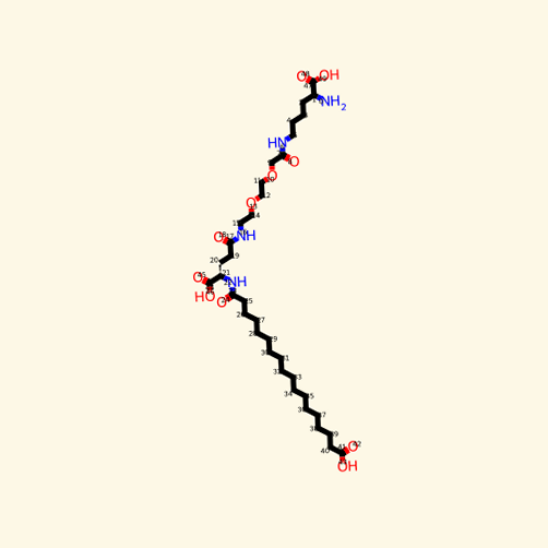 NC(CCCCNC(=O)COCCOCCNC(=O)CC[C@H](NC(=O)CCCCCCCCCCCCCCCCC(=O)O)C(=O)O)C(=O)O